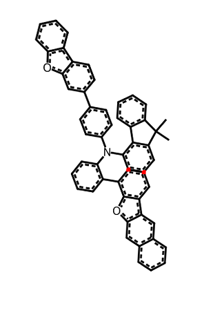 CC1(C)c2ccccc2-c2c(N(c3ccc(-c4ccc5c(c4)oc4ccccc45)cc3)c3ccccc3-c3cccc4c3oc3cc5ccccc5cc34)cccc21